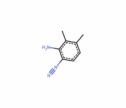 Cc1ccc([N+]#N)c(N)c1C